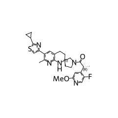 COc1cc([C@@H](C)C(=O)N2CC[C@@]3(CCc4cc(-c5csc(C6CC6)n5)c(C)nc4N3)C2)c(F)cn1